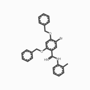 Cc1ccccc1NC(=N)c1cc(Br)c(OCc2ccccc2)cc1OCc1ccccc1